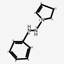 C1=CN(NNc2ccccc2)CC1